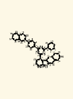 c1ccc(-c2nc(-c3ccc(-c4ccc5ccccc5c4)cc3)nc(-c3ccnc4oc5cc6ccccc6cc5c34)n2)cc1